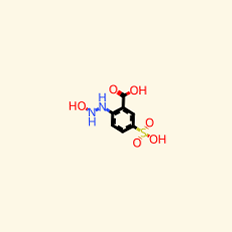 O=C(O)c1cc(S(=O)(=O)O)ccc1NNO